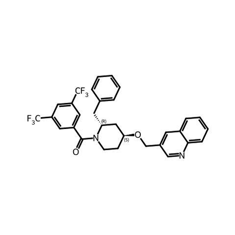 O=C(c1cc(C(F)(F)F)cc(C(F)(F)F)c1)N1CC[C@H](OCc2cnc3ccccc3c2)C[C@H]1Cc1ccccc1